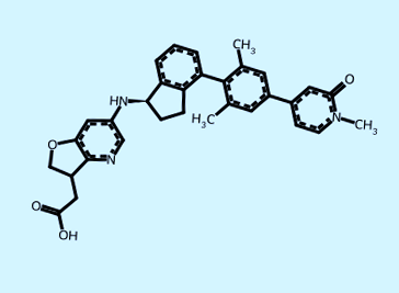 Cc1cc(-c2ccn(C)c(=O)c2)cc(C)c1-c1cccc2c1CC[C@H]2Nc1cnc2c(c1)OCC2CC(=O)O